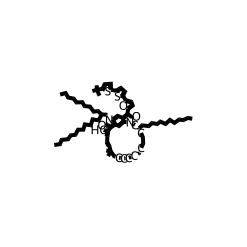 CCCCCCCCCCCCC(CCCCCCCCCC)CN1C(=O)C2=c3cc4c(cc31)=C(c1ccc(-c3ccc(-c5ccc(C(C)(C)C)s5)s3)o1)C(=O)N4CC(CCCCCCCCCCCC)CCCCCCCCCCC(C)(C)/C=C/C=C/2O